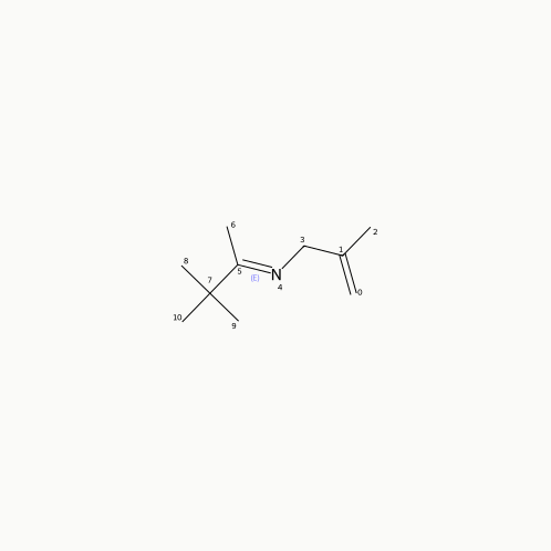 C=C(C)C/N=C(\C)C(C)(C)C